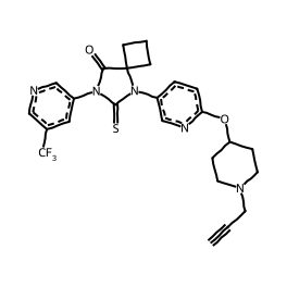 C#CCN1CCC(Oc2ccc(N3C(=S)N(c4cncc(C(F)(F)F)c4)C(=O)C34CCC4)cn2)CC1